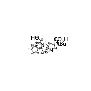 CC(C)(C)N(C(=O)O)c1cnc2c(c1)CN(C(=O)CO)[C@H](c1ccccc1)CO2